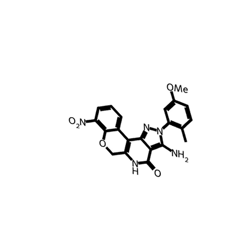 COc1ccc(C)c(-n2nc3c4c([nH]c(=O)c3c2N)COc2c-4cccc2[N+](=O)[O-])c1